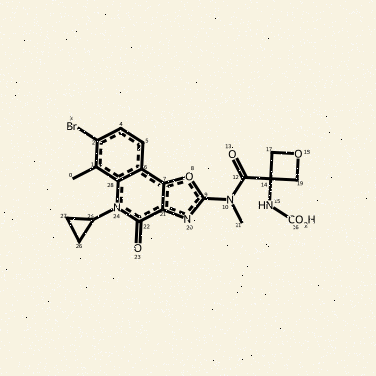 Cc1c(Br)ccc2c3oc(N(C)C(=O)C4(NC(=O)O)COC4)nc3c(=O)n(C3CC3)c12